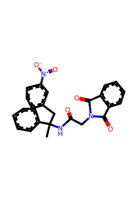 CC(Cc1cccc([N+](=O)[O-])c1)(NC(=O)CN1C(=O)c2ccccc2C1=O)c1ccccc1